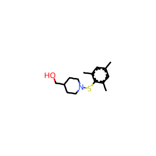 Cc1cc(C)c(SN2CCC(CO)CC2)c(C)c1